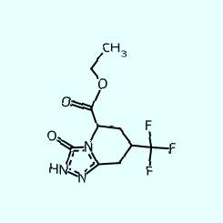 CCOC(=O)C1CC(C(F)(F)F)Cc2n[nH]c(=O)n21